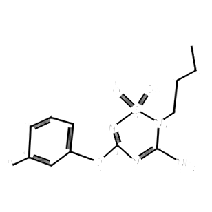 CCCCN1C(N)=NC(Oc2cccc(C)c2)=NS1(=O)=O